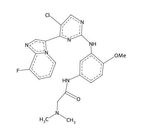 COc1ccc(NC(=O)CN(C)C)cc1Nc1ncc(Cl)c(-c2cnc3c(F)cccn23)n1